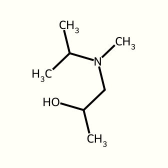 CC(O)CN(C)C(C)C